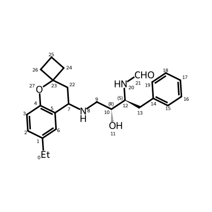 CCc1ccc2c(c1)C(NC[C@@H](O)[C@H](Cc1ccccc1)NC=O)CC1(CCC1)O2